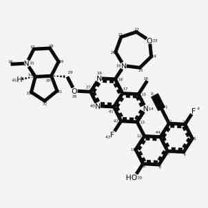 C#Cc1c(F)ccc2cc(O)cc(-c3nc(C)c4c(N5CCCOCC5)nc(OC[C@]56CCC[C@H]5N(C)CCC6)nc4c3F)c12